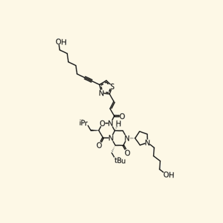 CC(C)C[C@H]1ON(C(=O)/C=C/c2nc(C#CCCCCCO)cs2)[C@H]2CN([C@@H]3CCN(CCCCO)C3)C(=O)[C@H](CC(C)(C)C)N2C1=O